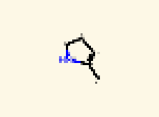 CC1=CC[CH]N1